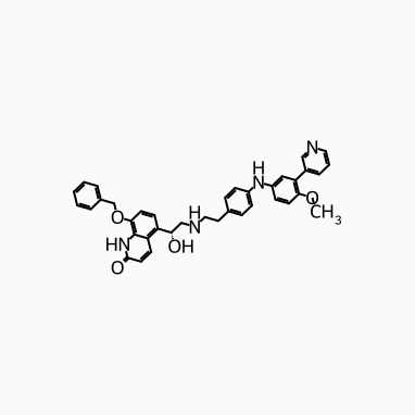 COc1ccc(Nc2ccc(CCNC[C@H](O)c3ccc(OCc4ccccc4)c4[nH]c(=O)ccc34)cc2)cc1-c1cccnc1